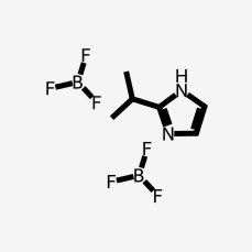 CC(C)c1ncc[nH]1.FB(F)F.FB(F)F